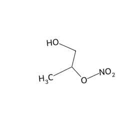 CC(CO)O[N+](=O)[O-]